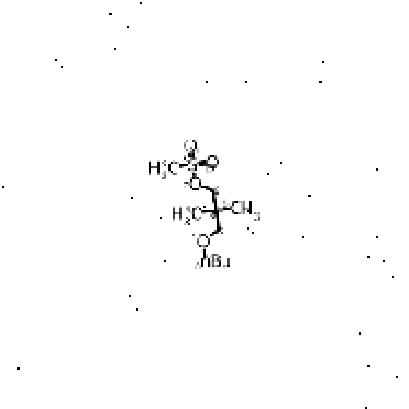 CCCCOCC(C)(C)COS(C)(=O)=O